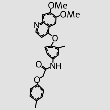 COc1cc2nccc(Oc3ccc(NC(=O)COc4ccc(C)cc4)cc3C)c2cc1OC